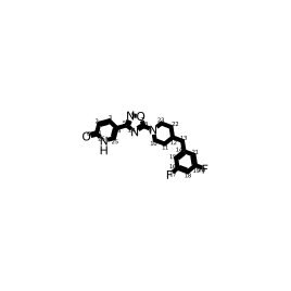 O=c1ccc(-c2noc(N3CCC(Cc4cc(F)cc(F)c4)CC3)n2)c[nH]1